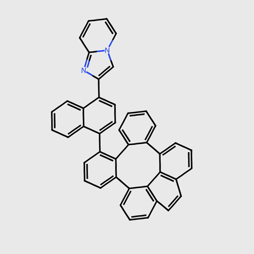 c1ccc2c(-c3cccc4c5cccc6ccc7cccc(c8ccccc8c34)c7c65)ccc(-c3cn4ccccc4n3)c2c1